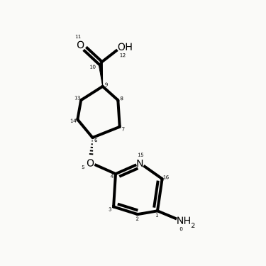 Nc1ccc(O[C@H]2CC[C@H](C(=O)O)CC2)nc1